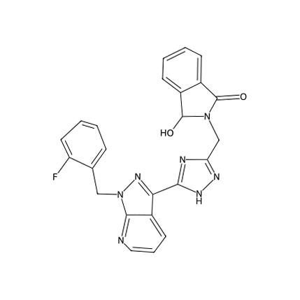 O=C1c2ccccc2C(O)N1Cc1n[nH]c(-c2nn(Cc3ccccc3F)c3ncccc23)n1